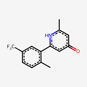 Cc1cc(=O)cc(-c2cc(C(F)(F)F)ccc2C)[nH]1